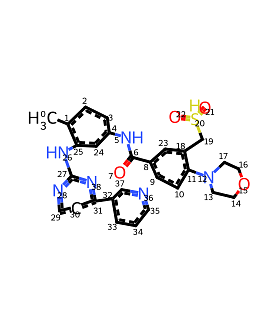 Cc1ccc(NC(=O)c2ccc(N3CCOCC3)c(C[SH](=O)=O)c2)cc1Nc1nccc(-c2cccnc2)n1